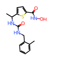 Cc1ccccc1CNC(=O)NC(C)c1ccc(C(=O)NO)s1